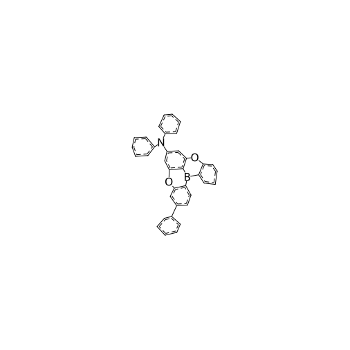 c1ccc(-c2ccc3c(c2)Oc2cc(N(c4ccccc4)c4ccccc4)cc4c2B3c2ccccc2O4)cc1